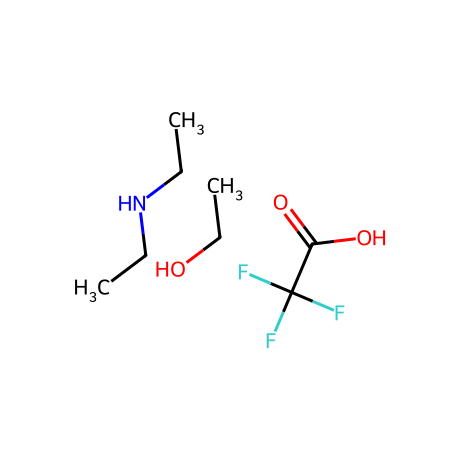 CCNCC.CCO.O=C(O)C(F)(F)F